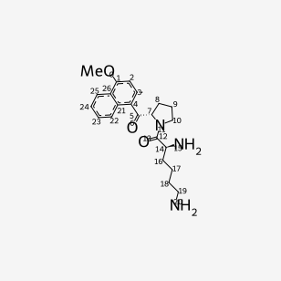 COc1c[c]c(C(=O)[C@@H]2CCCN2C(=O)[C@@H](N)CCCCN)c2ccccc12